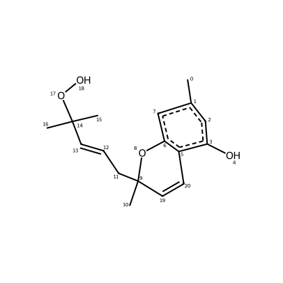 Cc1cc(O)c2c(c1)OC(C)(C/C=C/C(C)(C)OO)C=C2